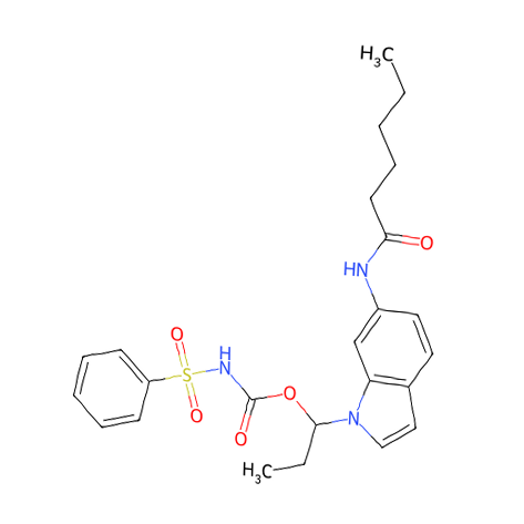 CCCCCC(=O)Nc1ccc2ccn(C(CC)OC(=O)NS(=O)(=O)c3ccccc3)c2c1